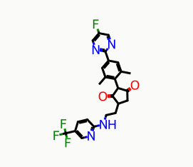 Cc1cc(-c2ncc(F)cn2)cc(C)c1C1C(=O)CC(CCNc2ccc(C(F)(F)F)cn2)C1=O